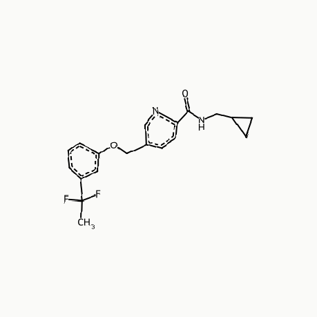 CC(F)(F)c1cccc(OCc2ccc(C(=O)NCC3CC3)nc2)c1